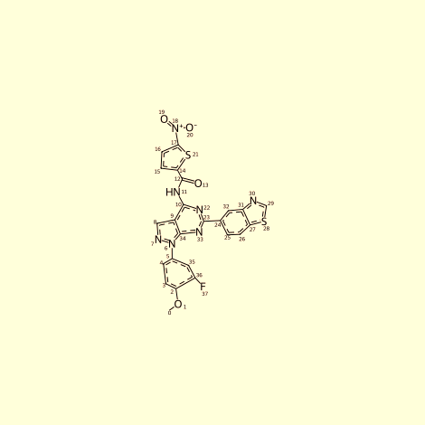 COc1ccc(-n2ncc3c(NC(=O)c4ccc([N+](=O)[O-])s4)nc(-c4ccc5scnc5c4)nc32)cc1F